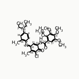 CCN(CC)c1ccc(/N=C2\C=C(NC(=O)c3cc(OC)c(OC)c(OC)c3OC)C(=O)C(Cl)=C2C)c(C)c1